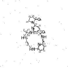 CC1(C)C[C@@H]2/C=C/CNc3cccc(n3)SNC(=O)c3ccc(N4CCCC4=O)nc3N1C2